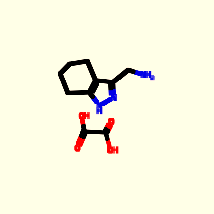 NCc1n[nH]c2c1CCCC2.O=C(O)C(=O)O